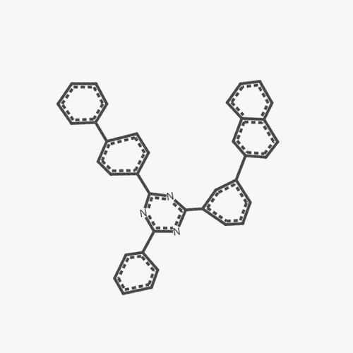 c1ccc(-c2ccc(-c3nc(-c4ccccc4)nc(-c4cccc(-c5ccc6ccccc6c5)c4)n3)cc2)cc1